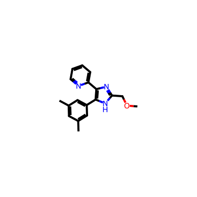 COCc1nc(-c2ccccn2)c(-c2cc(C)cc(C)c2)[nH]1